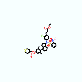 CCOC(=O)CCc1ccc(N(C2CCc3c(-c4c(C)cc(OCC5(O)CCSCC5)cc4C)cccc32)S(=O)(=O)c2ccccc2[N+](=O)[O-])cc1F